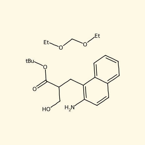 CC(C)(C)OC(=O)C(CO)Cc1c(N)ccc2ccccc12.CCOCOCC